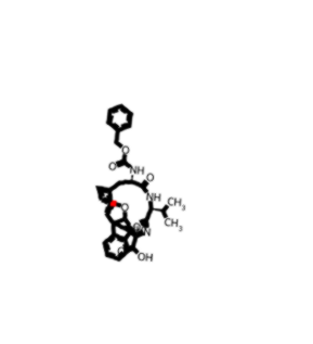 CC(C)[C@@H]1NC(=O)[C@@H](NC(=O)OCc2ccccc2)Cc2ccc3c(c2)C2(c4ccccc4NC2O3)c2oc1nc2C(=O)O